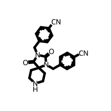 N#Cc1ccc(CN2C(=O)N(Cc3ccc(C#N)cc3)C3(CCNCC3)C2=O)cc1